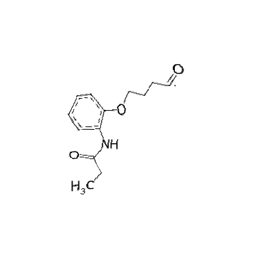 CCC(=O)Nc1ccccc1OCCC[C]=O